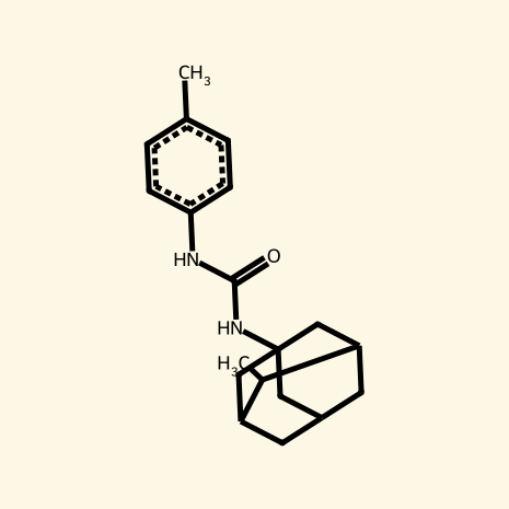 Cc1ccc(NC(=O)NC23CC4CC(C2)C(C)C(C4)C3)cc1